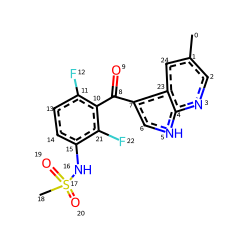 Cc1cnc2[nH]cc(C(=O)c3c(F)ccc(NS(C)(=O)=O)c3F)c2c1